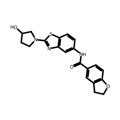 O=C(Nc1ccc2sc(N3CCC(O)C3)nc2c1)c1ccc2c(c1)CCO2